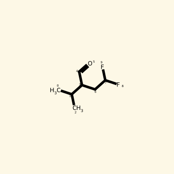 CC(C)C([C]=O)CC(F)F